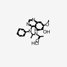 COc1cc2ncnc(N(c3ccccc3)C(C)NC(C)=O)c2cc1O.Cl